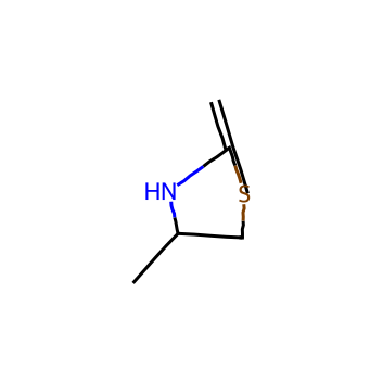 C=C1NC(C)CS1